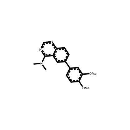 COc1ccc(-c2ccc3ncnc(N(C)C)c3c2)cc1OC